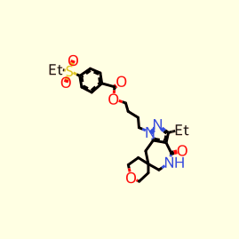 CCc1nn(CCCCOC(=O)c2ccc(S(=O)(=O)CC)cc2)c2c1C(=O)NCC1(CCOCC1)C2